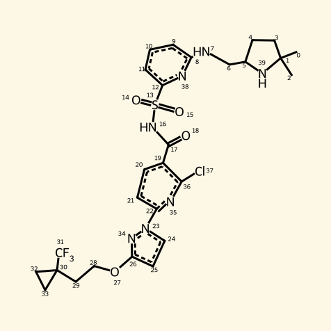 CC1(C)CCC(CNc2cccc(S(=O)(=O)NC(=O)c3ccc(-n4ccc(OCCC5(C(F)(F)F)CC5)n4)nc3Cl)n2)N1